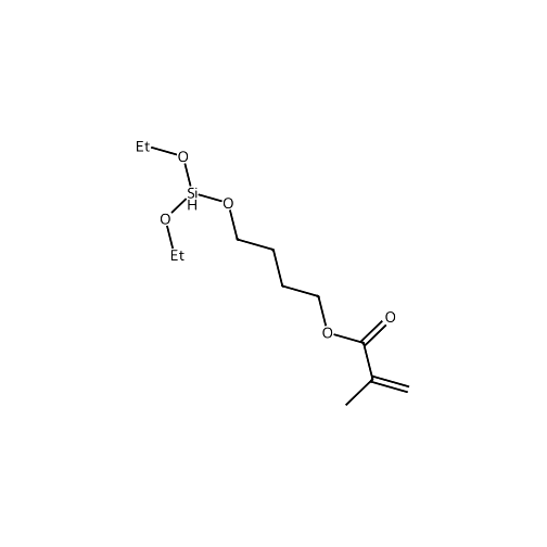 C=C(C)C(=O)OCCCCO[SiH](OCC)OCC